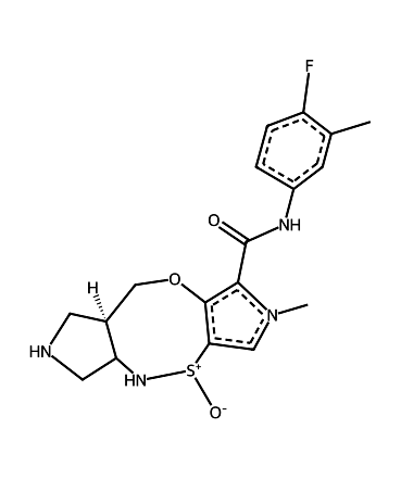 Cc1cc(NC(=O)c2c3c(cn2C)[S+]([O-])NC2CNC[C@H]2CO3)ccc1F